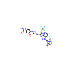 CNC(=O)c1ccc(NCC#Cc2nc3c(N[C@@H]4C[C@H]5CC[C@H](N5)[C@@H]4F)cccn3c2SC(F)(F)F)c(OC)c1